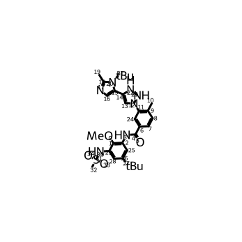 COc1c(NC(=O)c2ccc(C)c(N3C=C(c4cnc(C)n4C(C)(C)C)NN3)c2)cc(C(C)(C)C)cc1NS(C)(=O)=O